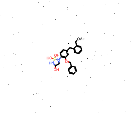 CC(=O)OCc1ccccc1Cc1ccc(N2CC(O)NS2(O)O)c(OCc2ccccc2)c1